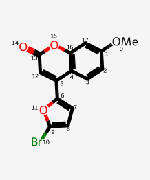 COc1ccc2c(-c3ccc(Br)o3)cc(=O)oc2c1